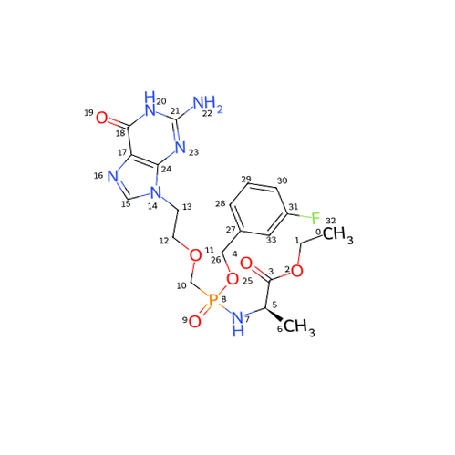 CCOC(=O)[C@@H](C)NP(=O)(COCCn1cnc2c(=O)[nH]c(N)nc21)OCc1cccc(F)c1